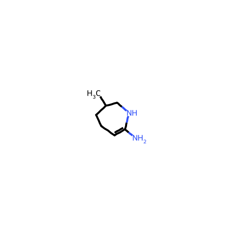 CC1CCC=C(N)NC1